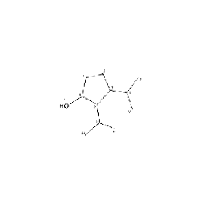 CC(C)C1CCC(O)C1C(C)C